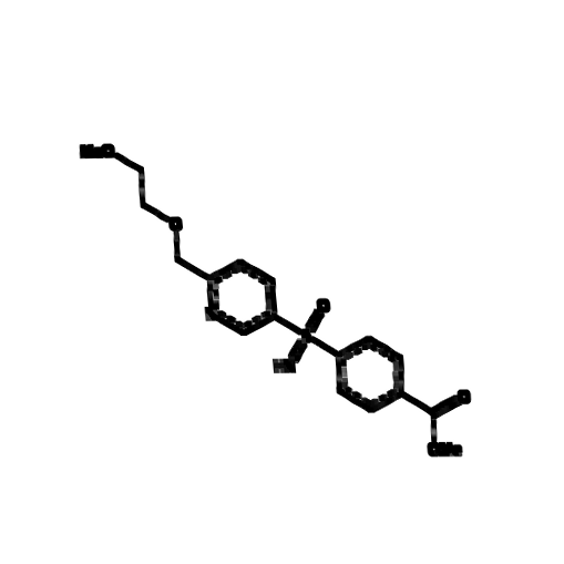 COCCOCc1ccc(S(=N)(=O)c2ccc(C(=O)OC)cc2)cn1